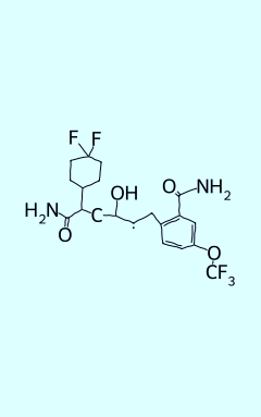 NC(=O)c1cc(OC(F)(F)F)ccc1C[CH]C(O)CC(C(N)=O)C1CCC(F)(F)CC1